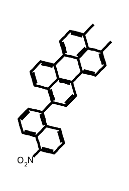 Cc1ccc2c3cccc4c(-c5cccc6c([N+](=O)[O-])cccc56)ccc(c5ccc(C)c1c25)c43